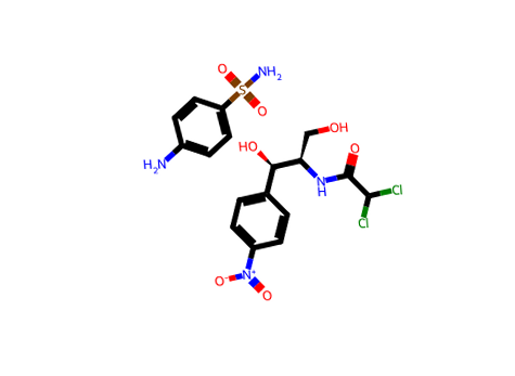 Nc1ccc(S(N)(=O)=O)cc1.O=C(N[C@H](CO)[C@H](O)c1ccc([N+](=O)[O-])cc1)C(Cl)Cl